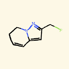 FCc1cc2n(n1)CCC=C2